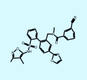 Cc1noc(NS(=O)(=O)c2ccccc2-c2ccc(-c3ncco3)cc2CN(C)C(=O)c2cccc(C#N)c2)c1C